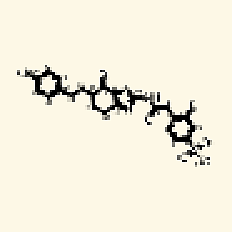 CCS(=O)(=O)c1ccc(CC(=O)Nc2nc3c(s2)C(=O)C(CCc2ccc(Cl)cc2)CC3)c(F)c1